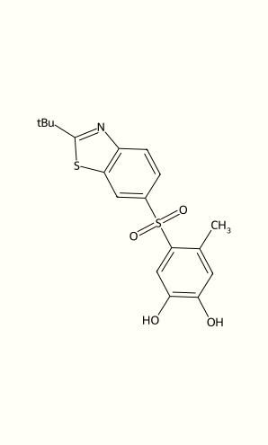 Cc1cc(O)c(O)cc1S(=O)(=O)c1ccc2nc(C(C)(C)C)sc2c1